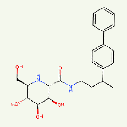 CC(CCNC(=O)[C@H]1N[C@H](CO)[C@@H](O)[C@H](O)[C@@H]1O)c1ccc(-c2ccccc2)cc1